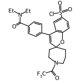 CCN(CC)C(=O)c1ccc(C2=CC3(CCCN(C(=O)C(F)(F)F)CC3)Oc3ccc(S(=O)(=O)Cl)cc32)cc1